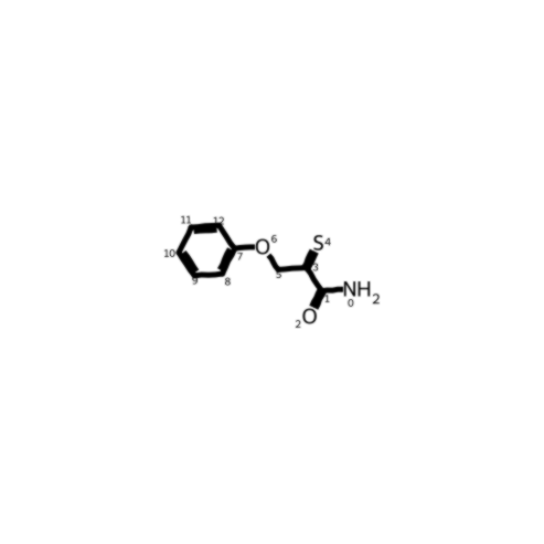 NC(=O)C(=S)COc1ccccc1